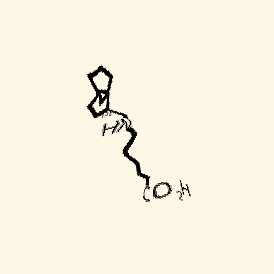 O=C(O)CCCCCNC[C@H]1CCC23CCCC12C3